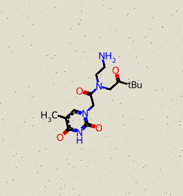 Cc1cn(CC(=O)N(CCN)CC(=O)C(C)(C)C)c(=O)[nH]c1=O